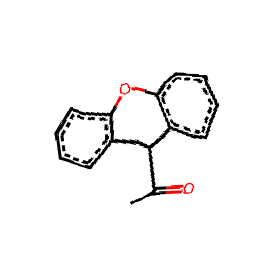 CC(=O)C1c2ccccc2Oc2ccccc21